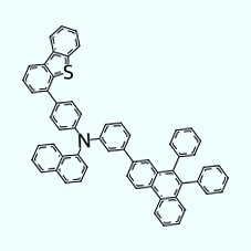 c1ccc(-c2c(-c3ccccc3)c3cc(-c4cccc(N(c5ccc(-c6cccc7c6sc6ccccc67)cc5)c5cccc6ccccc56)c4)ccc3c3ccccc23)cc1